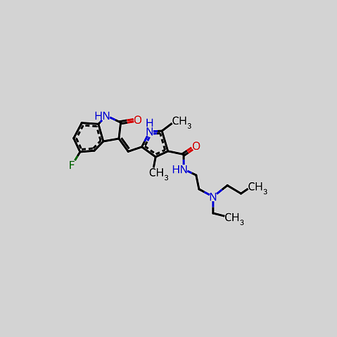 CCCN(CC)CCNC(=O)c1c(C)[nH]c(/C=C2\C(=O)Nc3ccc(F)cc32)c1C